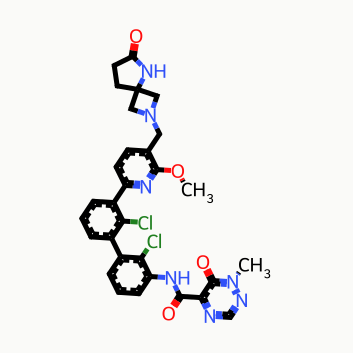 COc1nc(-c2cccc(-c3cccc(NC(=O)c4ncnn(C)c4=O)c3Cl)c2Cl)ccc1CN1CC2(CCC(=O)N2)C1